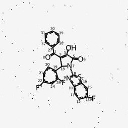 O=C(C1=C(O)C(=O)N(c2nc3ccc(F)cc3s2)C1c1ccc(F)cc1F)c1ccccc1